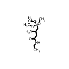 CCNC(=O)CC(N)C[Si](OC)(OC)OC